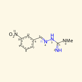 CNC(=N)N/N=C/c1cccc([N+](=O)[O-])c1